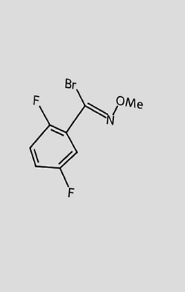 CON=C(Br)c1cc(F)ccc1F